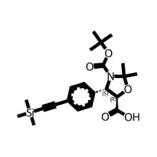 CC(C)(C)OC(=O)N1[C@@H](c2ccc(C#C[Si](C)(C)C)cc2)[C@H](C(=O)O)OC1(C)C